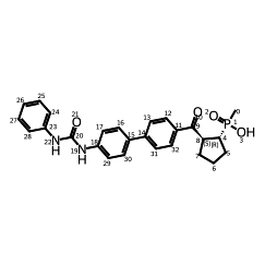 CP(=O)(O)[C@@H]1CCC[C@H]1C(=O)c1ccc(-c2ccc(NC(=O)Nc3ccccc3)cc2)cc1